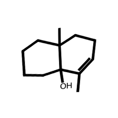 CC1=CCCC2(C)CCCCC12O